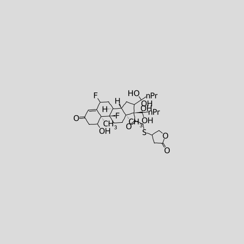 CCCC(O)(O)C1C[C@H]2[C@@H]3CC(F)C4=CC(=O)CC(O)[C@]4(C)[C@@]3(F)CC[C@]2(C)[C@]1(C(=O)CSC1COC(=O)C1)C(O)(O)CCC